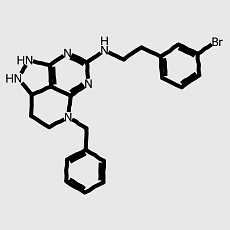 Brc1cccc(CCNc2nc3c4c(n2)N(Cc2ccccc2)CCC4NN3)c1